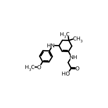 COc1ccc(NC2C=C(NCC(=O)O)CC(C)(C)C2)cc1